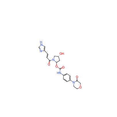 O=C(Nc1ccc(N2CCOCC2=O)cc1)O[C@@H]1C[C@@H](O)CN1C(=O)/C=C/c1c[nH]cn1